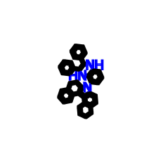 C1=Cc2c(ccc3c2c2c(n3-c3cccc4c3NC(c3ccccc3)C(c3ccccc3)N4)CCc3ccccc3-2)CC1